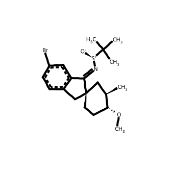 CO[C@@H]1CC[C@]2(Cc3ccc(Br)cc3/C2=N\[S@@+]([O-])C(C)(C)C)C[C@H]1C